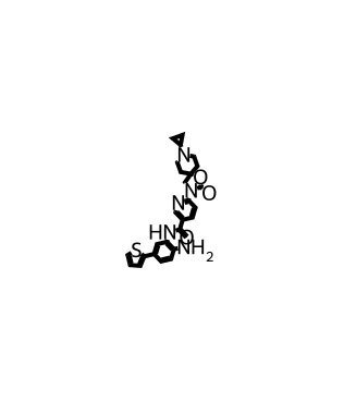 Nc1ccc(-c2cccs2)cc1NC(=O)c1ccc(N2CC3(CCN(C4CC4)CC3)OC2=O)nc1